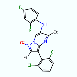 CCc1nc2c(-c3c(Cl)cccc3Cl)c(CC)[n+]([O-])n2cc1Nc1ccc(F)cc1F